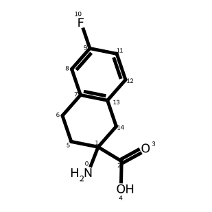 NC1(C(=O)O)CCc2cc(F)ccc2C1